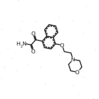 NC(=O)C(=O)c1ccc(OCCN2CCOCC2)c2ccccc12